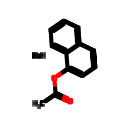 CC(=O)Oc1cccc2ccccc12.[NaH]